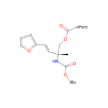 CCCCCC(=O)OC[C@@](C)(/C=C/c1ccco1)NC(=O)OC(C)(C)C